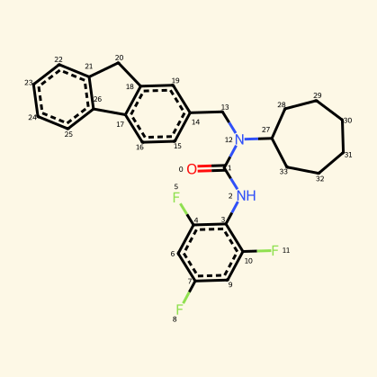 O=C(Nc1c(F)cc(F)cc1F)N(Cc1ccc2c(c1)Cc1ccccc1-2)C1CCCCCC1